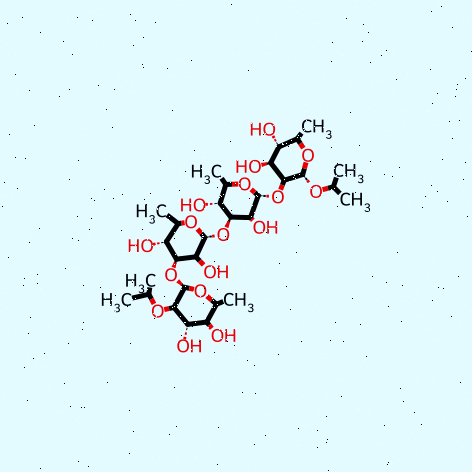 CC(C)OC1[C@@H](O[C@@H]2C(O)[C@@H](O[C@@H]3C(O)[C@@H](OC4[C@@H](OC(C)C)OC(C)[C@@H](O)[C@@H]4O)OC(C)[C@H]3O)OC(C)[C@H]2O)OC(C)C(O)[C@@H]1O